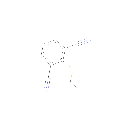 CCSc1c(C#N)cccc1C#N